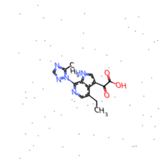 CCc1cnc(-n2ncnc2C)c2[nH]cc(C(=O)C(=O)O)c12